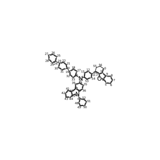 C1=c2c(oc3ccccc23)=C(c2ccc(N(c3ccc(-c4ccc(-c5ccccc5)cc4)cc3)c3ccc4c(c3)c3ccccc3n4-c3ccccc3)cc2)CC1